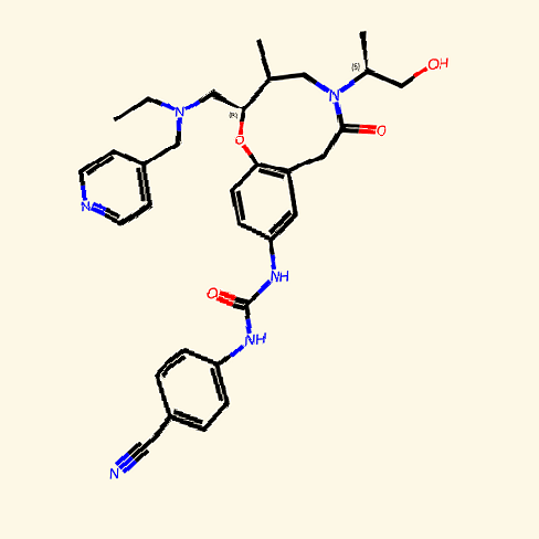 CCN(Cc1ccncc1)C[C@@H]1Oc2ccc(NC(=O)Nc3ccc(C#N)cc3)cc2CC(=O)N([C@@H](C)CO)CC1C